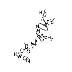 C=C(/N=C\C=C/N)c1ccc(N2CCN(C(=O)CN3CC[C@@H](C(=O)Nc4ccc5[nH]nc(-c6ccncc6)c5c4)C3)[C@H](C)C2)nc1